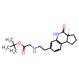 CC(C)(C)OC(=O)CNCCc1ccc2c(c1)NC(=O)C1(F)CCCC21